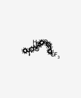 O=C(NC1CCN(C(I)c2ccccc2)CC1)c1cc2cc(OC3CCN(Cc4cccc(C(F)(F)F)c4)CC3)ccc2o1